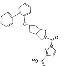 O=C(O)c1ccn(C(=O)N2CC3CC(Oc4ccccc4-c4ccccc4)CC3C2)n1